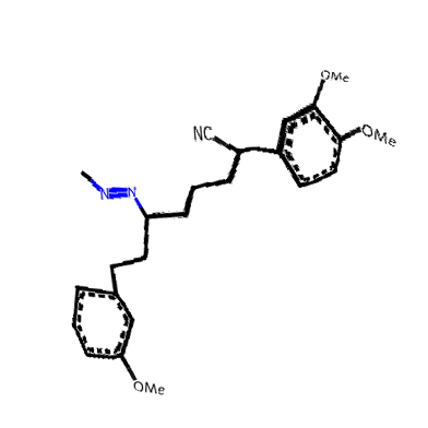 C/N=N/C(CCCC(C#N)c1ccc(OC)c(OC)c1)CCc1cccc(OC)c1